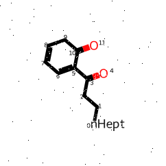 CCCCCCCCCC(=O)C1=CC=CCC1=O